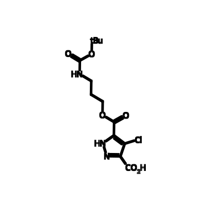 CC(C)(C)OC(=O)NCCCOC(=O)c1[nH]nc(C(=O)O)c1Cl